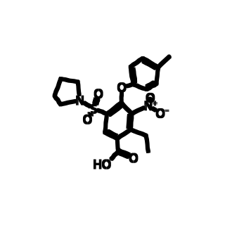 CCc1c(C(=O)O)cc(S(=O)(=O)N2CCCC2)c(Oc2ccc(C)cc2)c1[N+](=O)[O-]